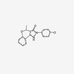 CC1Oc2ccccc2-c2[nH]n(-c3ccc(Cl)cc3)c(=O)c21